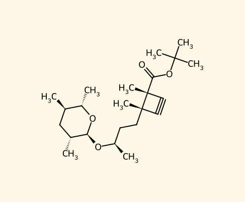 C[C@H](CC[C@@]1(C)C#C[C@@]1(C)C(=O)OC(C)(C)C)O[C@@H]1O[C@@H](C)[C@H](C)C[C@H]1C